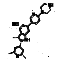 Cc1cc(-c2[nH]c3cc(-c4ccc(N5CCNCC5)nc4)ccc3c2C)cc(C)n1.Cl